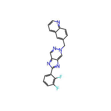 Fc1cccc(-c2nc3cnn(Cc4ccc5ncccc5c4)cc-3n2)c1F